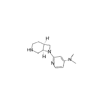 CN(C)c1ccnc(N2C[C@@H]3CCNC[C@@H]32)c1